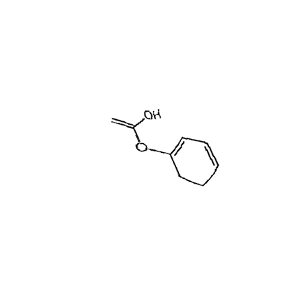 C=C(O)OC1=CC=CCC1